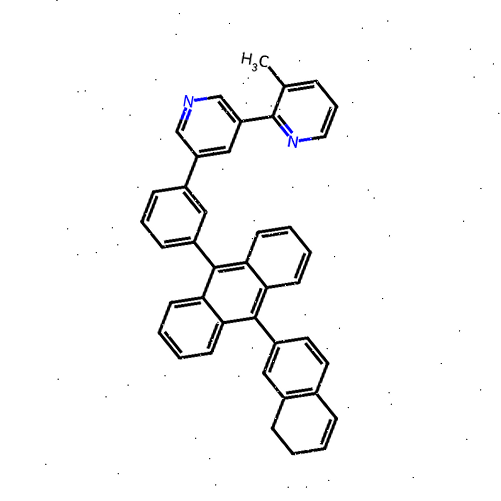 Cc1cccnc1-c1cncc(-c2cccc(-c3c4ccccc4c(-c4ccc5c(c4)CCC=C5)c4ccccc34)c2)c1